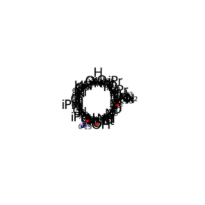 C/C=C/C[C@@H](C)[C@@H](O)[C@H]1C(=O)N[C@@H](CC)C(=O)N(C)[C@H](C)C(=O)N(C)[C@@H]([C@H](C)CN2CCN(C)CC2)C(=O)N[C@@H](C(C)C)C(=O)N(C)[C@@H](CC(C)C)C(=O)N[C@@H](C)C(=O)N[C@H](C)C(=O)N(C)[C@@H](CC(C)C)C(=O)N(C)[C@@H](CC(C)C)C(=O)N(C)[C@@H](C(C)C)C(=O)N1C